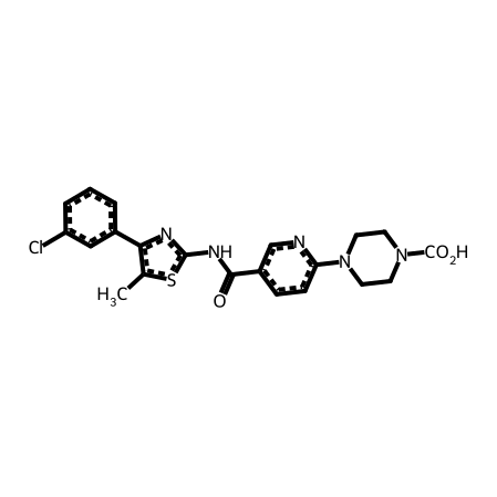 Cc1sc(NC(=O)c2ccc(N3CCN(C(=O)O)CC3)nc2)nc1-c1cccc(Cl)c1